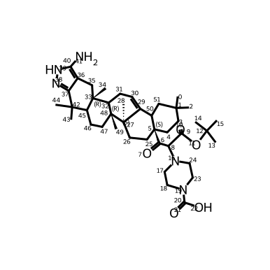 CC1(C)CC[C@]2(C(=O)C(C(=O)OC(C)(C)C)N3CCN(C(=O)O)CC3)CC[C@]3(C)C(=CCC4[C@@]5(C)Cc6c(n[nH]c6N)C(C)(C)C5CC[C@]43C)C2C1